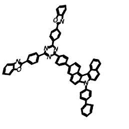 c1ccc(-c2ccc(-n3c4ccc5ccccc5c4c4c5ccc(-c6ccc(-c7nc(-c8ccc(-c9nc%10ccccc%10o9)cc8)nc(-c8ccc(-c9nc%10ccccc%10o9)cc8)n7)cc6)cc5ccc43)cc2)cc1